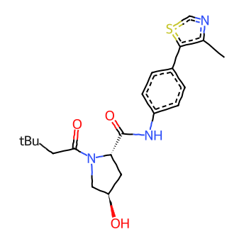 Cc1ncsc1-c1ccc(NC(=O)[C@@H]2C[C@@H](O)CN2C(=O)CC(C)(C)C)cc1